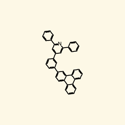 c1ccc(-c2cc(-c3cccc(-c4ccc5c6ccccc6c6ccccc6c5c4)c3)cc(-c3ccccc3)n2)cc1